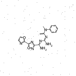 C=C(/N=C(N)\N=C(/N)c1noc(-c2ncco2)n1)N(C)c1ccccc1